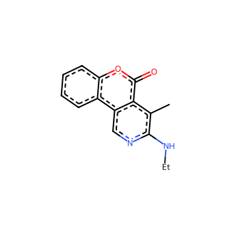 CCNc1ncc2c(c1C)c(=O)oc1ccccc12